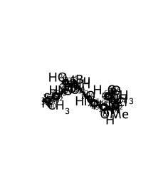 COc1cc(N2CCC(NC(=O)CCCCC(=O)NC(C(=O)N3C[C@H](O)C[C@H]3C(=O)NCc3ccc(-c4scnc4C)cc3)C(C)(C)C)CC2)ccc1Nc1ncc(Cl)c(Nc2ccccc2P(C)(C)=O)n1